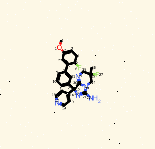 COC1=CCC(F)C(c2cccc(C3(c4ccncc4)N=C(N)N4CC(C)(F)CN=C43)c2)=C1